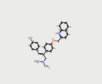 CN(C)C/C(=C/c1ccc(Cl)cc1)c1ccc(OCc2ccc3ccccc3n2)cc1